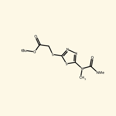 CNC(=O)N(C)c1nnc(SCC(=O)OC(C)(C)C)s1